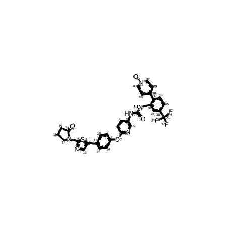 O=C(Nc1ccc(Oc2ccc(-c3cnc(N4CCCC4=O)s3)cc2)nc1)Nc1cc(C(F)(F)F)ccc1-c1cc[n+]([O-])cc1